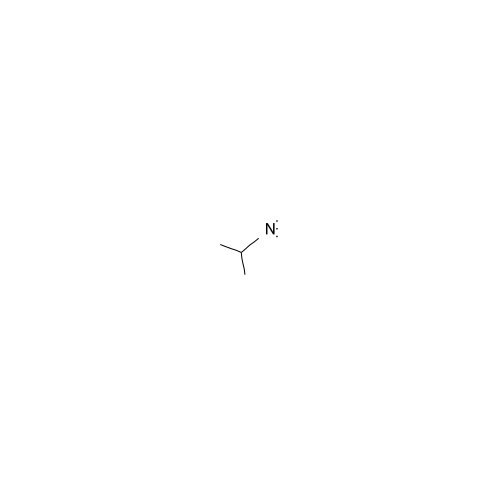 CC(C)C.[N]